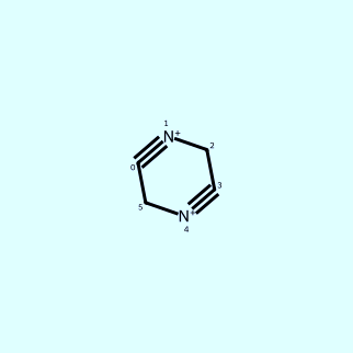 C1#[N+]CC#[N+]C1